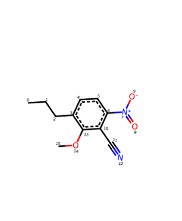 CCCc1ccc([N+](=O)[O-])c(C#N)c1OC